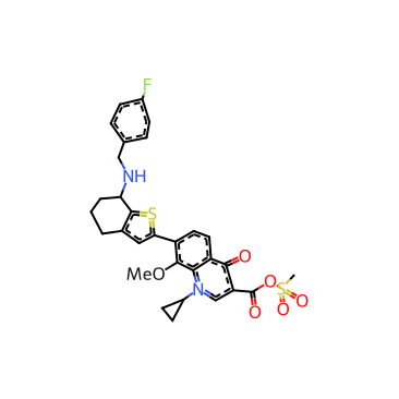 COc1c(-c2cc3c(s2)C(NCc2ccc(F)cc2)CCC3)ccc2c(=O)c(C(=O)OS(C)(=O)=O)cn(C3CC3)c12